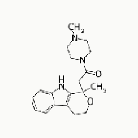 CN1CCN(C(=O)CC2(C)OCCc3c2[nH]c2ccccc32)CC1